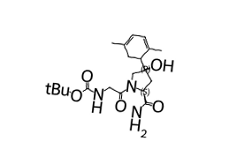 CC1=CC=C(C)C([C@]2(O)C[C@@H](C(N)=O)N(C(=O)CNC(=O)OC(C)(C)C)C2)C1